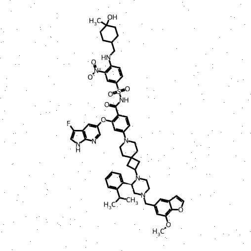 COc1cc(CN2CCN(C3CC4(CCN(c5ccc(C(=O)NS(=O)(=O)c6ccc(NCC7CCC(C)(O)CC7)c([N+](=O)[O-])c6)c(Oc6cnc7[nH]cc(F)c7c6)c5)CC4)C3)[C@H](c3ccccc3C(C)C)C2)cc2ccoc12